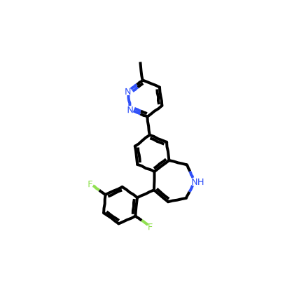 Cc1ccc(-c2ccc3c(c2)CNCC=C3c2cc(F)ccc2F)nn1